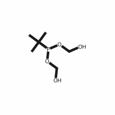 CC(C)(C)P(OCO)OCO